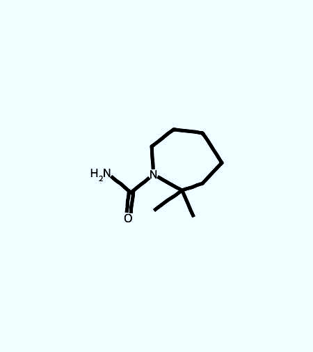 CC1(C)CCCCCN1C(N)=O